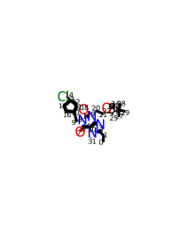 CCc1nc2c(c(=O)n(Cc3ccc(Cl)cc3)c(=O)n2CCO[Si](C)(C)C(C)(C)C)n1C